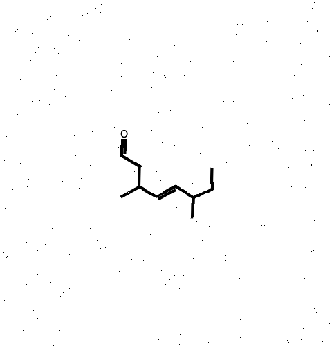 CCC(C)C=CC(C)CC=O